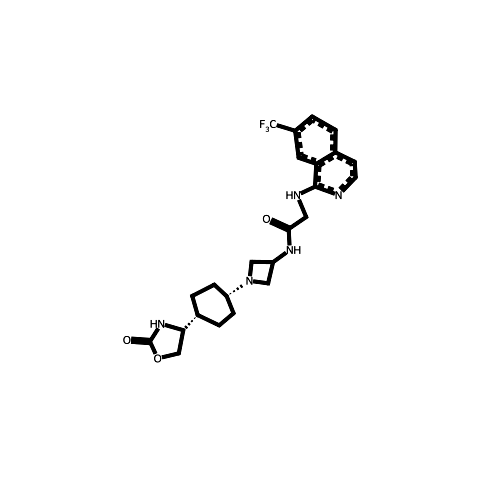 O=C(CNc1nccc2ccc(C(F)(F)F)cc12)NC1CN([C@H]2CC[C@@H](C3COC(=O)N3)CC2)C1